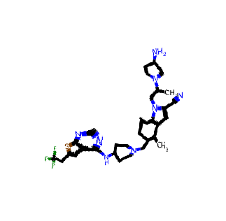 CC1C(CN2CCC(Nc3ncnc4sc(CC(F)(F)F)cc34)CC2)CCC2C1C=C(C#N)N2CC(C)N1CCC(N)C1